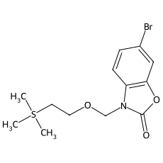 CS(C)(C)CCOCn1c(=O)oc2cc(Br)ccc21